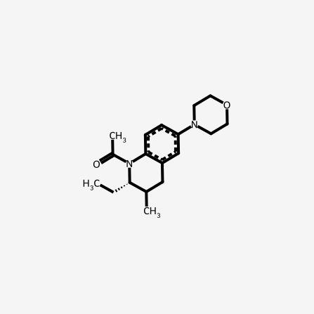 CC[C@H]1C(C)Cc2cc(N3CCOCC3)ccc2N1C(C)=O